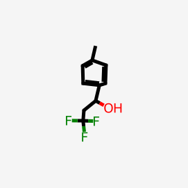 Cc1ccc(C(O)CC(F)(F)F)cc1